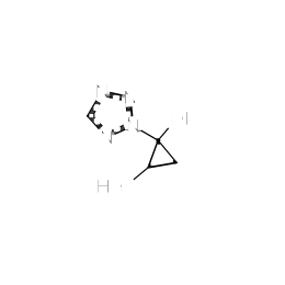 CC1CC1(O)n1ncnn1